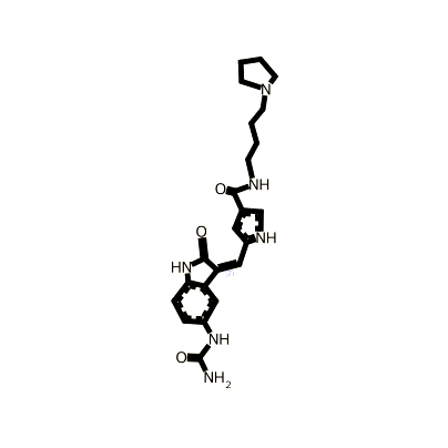 NC(=O)Nc1ccc2c(c1)/C(=C/c1cc(C(=O)NCCCCN3CCCC3)c[nH]1)C(=O)N2